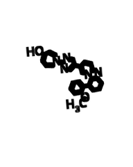 COc1ccccc1C1CCCc2nc3ccc(-c4cnc(N5C=CC=C(O)C=C5)nc4)cn3c21